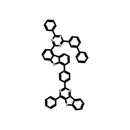 c1ccc(-c2cccc(-c3nc(-c4ccccc4)nc(-c4cccc5sc6c(-c7ccc(-c8nc(-c9ccccc9)c9sc%10ccccc%10c9n8)cc7)cccc6c45)n3)c2)cc1